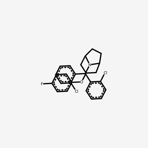 Fc1ccc(OC2CC3CCC(C2)N3C(c2ccccc2Cl)c2ccccc2Cl)cc1